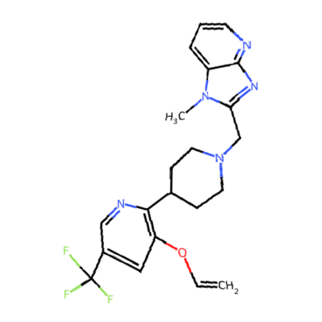 C=COc1cc(C(F)(F)F)cnc1C1CCN(Cc2nc3ncccc3n2C)CC1